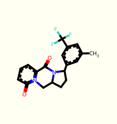 Cc1cc(C2CCC3Cn4c(cccc4=O)C(=O)N32)cc(C(F)(F)F)c1